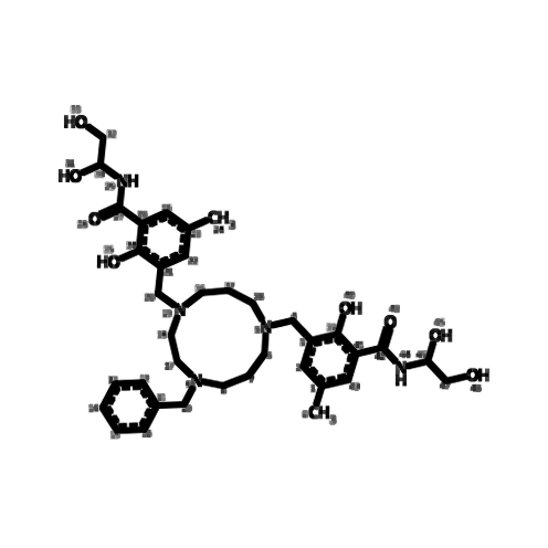 Cc1cc(CN2CCCN(Cc3ccccc3)CCN(Cc3cc(C)cc(C(=O)NC(O)CO)c3O)CCC2)c(O)c(C(=O)NC(O)CO)c1